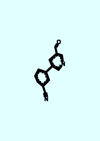 N#Cc1cccc(-c2cncc(C=O)c2)c1